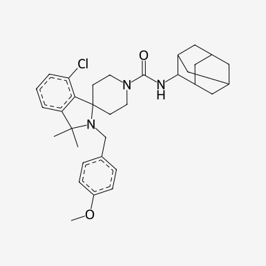 COc1ccc(CN2C(C)(C)c3cccc(Cl)c3C23CCN(C(=O)NC2C4CC5CC(C4)CC2C5)CC3)cc1